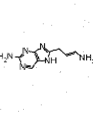 NC=CCc1nc2nc(N)ncc2[nH]1